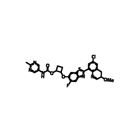 COC1C=Nc2c(cc(Cl)cc2-c2nc3cc(F)c(OC4CCC4OC(=O)Nc4cnc(C)nc4)cc3s2)C1